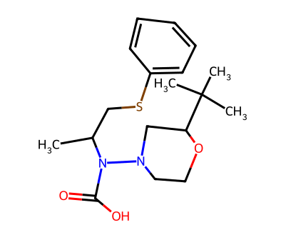 CC(CSc1ccccc1)N(C(=O)O)N1CCOC(C(C)(C)C)C1